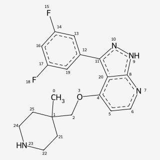 CC1(COc2ccnc3[nH]nc(-c4cc(F)cc(F)c4)c23)CCNCC1